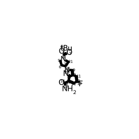 CC(C)(C)OC(=O)N1CCC(n2cc3cc(F)cc(C(N)=O)c3n2)C1